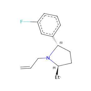 C=CCN1[C@H]([CH]C)CC[C@H]1c1cccc(F)c1